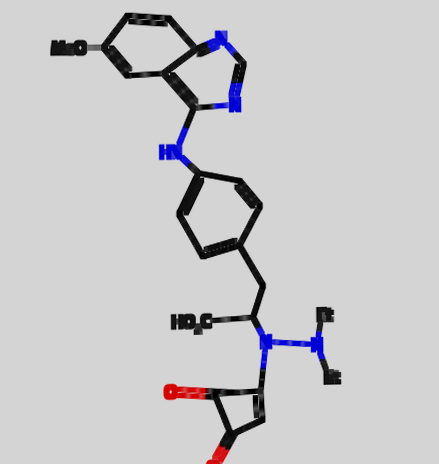 CCN(CC)N(c1cc(=O)c1=O)C(Cc1ccc(Nc2ncnc3ccc(OC)cc23)cc1)C(=O)O